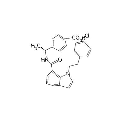 C[C@H](NC(=O)c1cccc2ccn(CCc3ccc(Cl)cc3)c12)c1ccc(C(=O)O)cc1